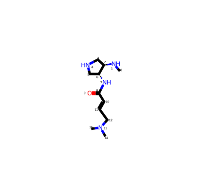 CN[C@@H]1CNC[C@H]1NC(=O)/C=C/CN(C)C